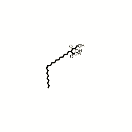 CCCCCCCC/C=C\CCCCCCCCCCC(C(=O)O)C(=O)C(O)CO